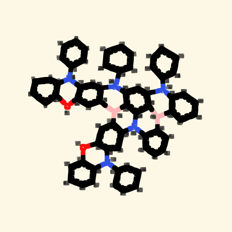 c1ccc(N2c3ccccc3Oc3cc4c(cc32)N(c2ccccc2)c2cc3c5c6c2B4c2cc4c(cc2N6c2ccccc2B5c2ccccc2N3c2ccccc2)N(c2ccccc2)c2ccccc2O4)cc1